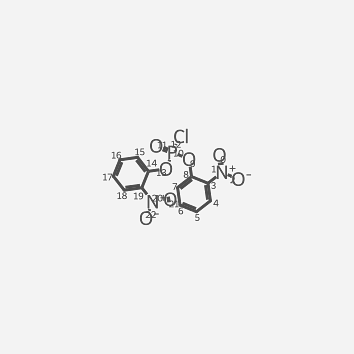 O=[N+]([O-])c1ccccc1OP(=O)(Cl)Oc1ccccc1[N+](=O)[O-]